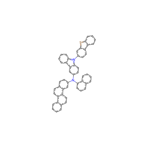 c1ccc2c(N(c3ccc4ccc5c6ccccc6ccc5c4c3)c3ccc4c(c3)c3ccccc3n4-c3ccc4c(c3)sc3ccccc34)cccc2c1